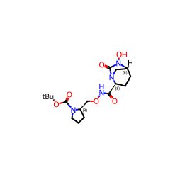 CC(C)(C)OC(=O)N1CCC[C@@H]1CONC(=O)[C@@H]1CC[C@@H]2CN1C(=O)N2O